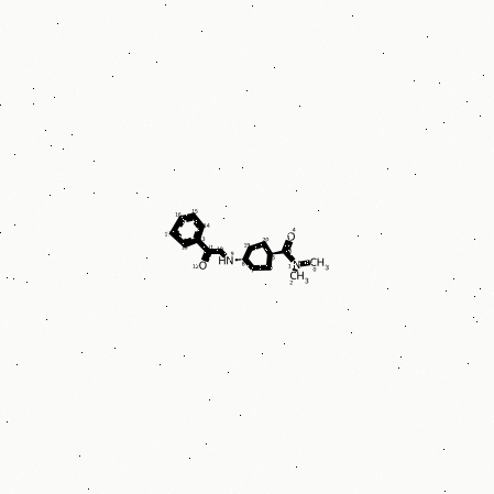 CN(C)C(=O)[C@H]1CC[C@H](NCC(=O)c2ccccc2)CC1